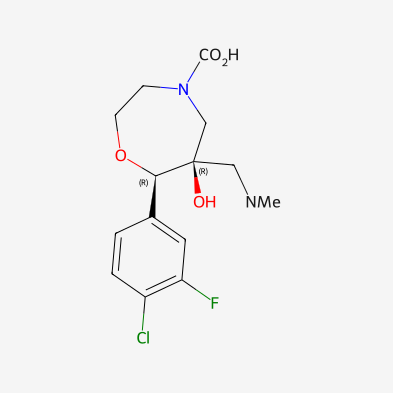 CNC[C@@]1(O)CN(C(=O)O)CCO[C@@H]1c1ccc(Cl)c(F)c1